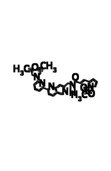 C[C@@H]1CN(c2cccc(-c3ccc4cnc(CNC(=O)C=Cc5cccn5S(C)(=O)=O)cc4n3)n2)C[C@H](C)O1